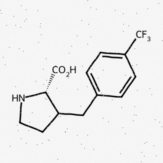 O=C(O)[C@H]1NCCC1Cc1ccc(C(F)(F)F)cc1